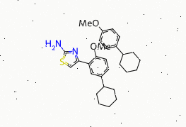 COc1ccc(C2CCCCC2)cc1.COc1ccc(C2CCCCC2)cc1-c1csc(N)n1